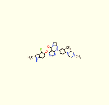 Cc1cc2c(F)c(Oc3ncnc(Nc4ccc(N5CCN(C)CC5)c(C(F)(F)F)c4)c3C(=O)N3CCC3)ccc2[nH]1